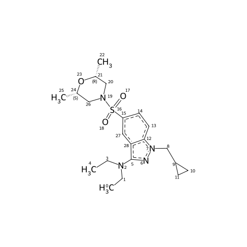 CCN(CC)c1nn(CC2CC2)c2ccc(S(=O)(=O)N3C[C@@H](C)O[C@@H](C)C3)cc12